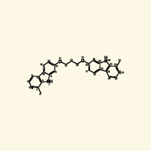 Cc1nccc2c1[nH]c1cc(OCCCOc3ccc4c(c3)[nH]c3c(C)nccc34)ccc12